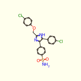 NS(=O)(=O)c1ccc(-c2nc(COc3ccc(Cl)cc3)[nH]c2-c2ccc(Cl)cc2)cc1